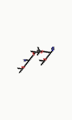 CCCCCC(CCCCC)CC(=O)OCCCCCCCCC(CCCCCCCCOC(=O)CC(CCCCC)CCC(CC)C(CCC)CC(CCCCC)CC(=O)OCCCCCCCCC(CCCCCCCCOC(=O)CC(CCCCC)CCCCC)CCCN1CCN(C)CC1)CCCN(C)C